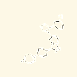 CN1CCN(c2ccc(-c3nnc4ccc(N5CCCC5c5cccc(Cl)c5)cn34)cc2)CC1